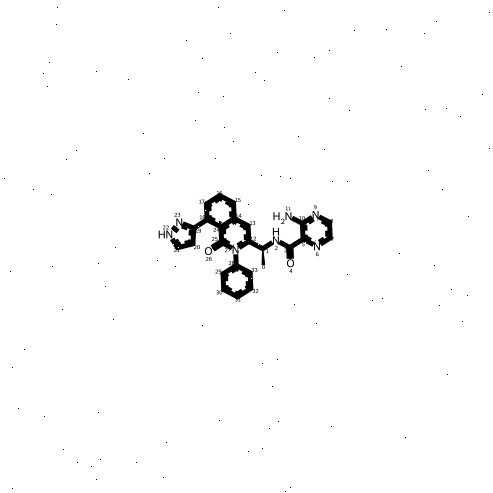 C[C@H](NC(=O)c1nccnc1N)c1cc2cccc(-c3cc[nH]n3)c2c(=O)n1-c1ccccc1